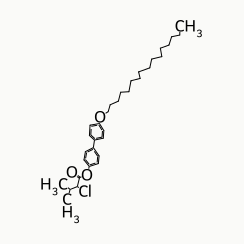 CCCCCCCCCCCCCCCCOc1ccc(-c2ccc(OC(=O)C(Cl)C(C)C)cc2)cc1